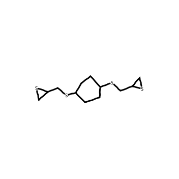 C1CC(SCC2CS2)CCC1SCC1CS1